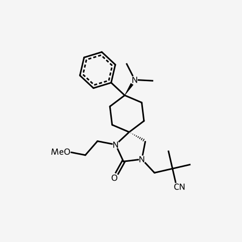 COCCN1C(=O)N(CC(C)(C)C#N)C[C@]12CC[C@](c1ccccc1)(N(C)C)CC2